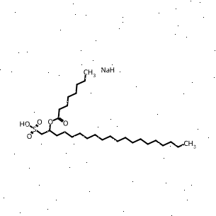 CCCCCCCCCCCCCCCCCCC(CS(=O)(=O)O)OC(=O)CCCCCCC.[NaH]